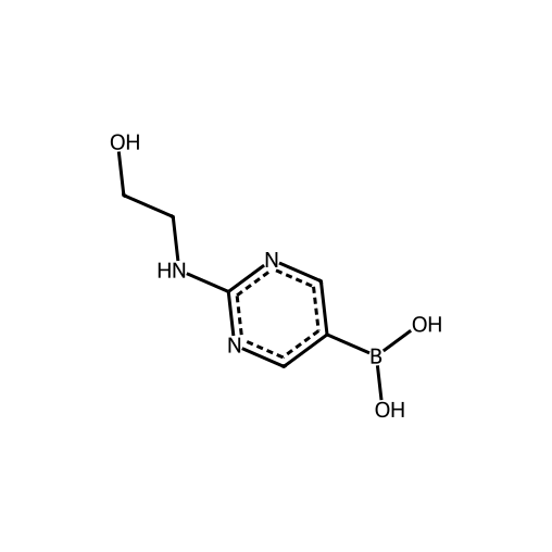 OCCNc1ncc(B(O)O)cn1